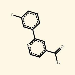 CCC(=O)c1ccnc(-c2cccc(F)c2)c1